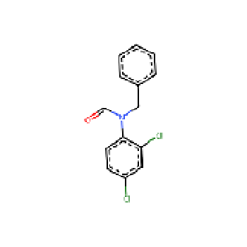 O=CN(Cc1ccccc1)c1ccc(Cl)cc1Cl